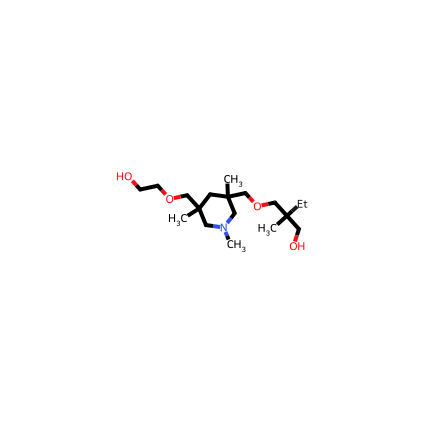 CCC(C)(CO)COCC1(C)CN(C)CC(C)(COCCO)C1